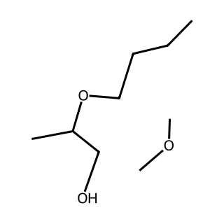 CCCCOC(C)CO.COC